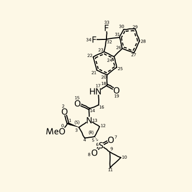 COC(=O)[C@@H]1C[C@@H](S(=O)(=O)C2CC2)CN1C(=O)CNC(=O)c1ccc2c(c1)-c1ccccc1C2(F)F